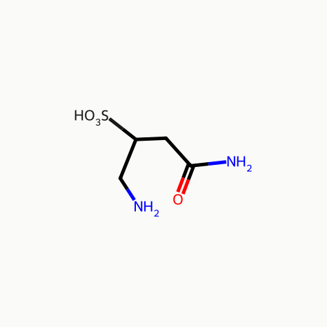 NCC(CC(N)=O)S(=O)(=O)O